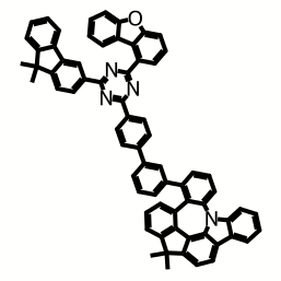 CC1(C)c2ccccc2-c2cc(-c3nc(-c4ccc(-c5cccc(-c6cccc7c6-c6cccc8c6-c6c(ccc9c%10ccccc%10n-7c69)C8(C)C)c5)cc4)nc(-c4cccc5oc6ccccc6c45)n3)ccc21